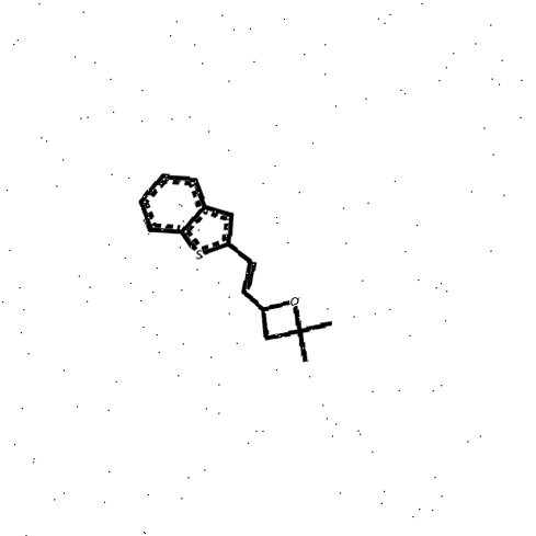 CC1(C)CC(C=Cc2cc3ccccc3s2)O1